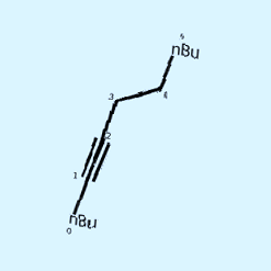 [CH2]CCCC#CCCCCCC